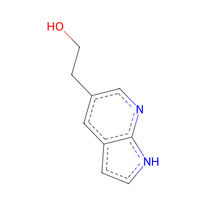 OCCc1cnc2[nH]ccc2c1